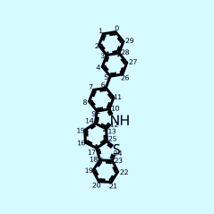 c1ccc2cc(-c3ccc4c(c3)[nH]c3c4ccc4c5ccccc5sc43)ccc2c1